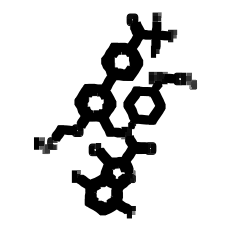 CCOc1ccc(-c2ccc(C(=O)C(F)(F)F)cc2)cc1CN(C(=O)c1sc2c(F)ccc(F)c2c1Cl)[C@H]1CC[C@H](NC)CC1